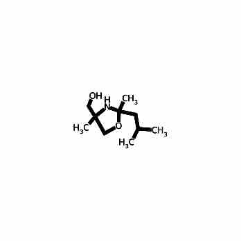 CC(C)CC1(C)NC(C)(CO)CO1